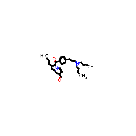 CCCCc1cc2cc([C]=O)ccn2c1C(=O)c1ccc(CCCN(CCCC)CCCC)cc1